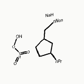 CCCCCCCCCCC1CCC(CCC)C1.O=[SH](=O)OO.[NaH]